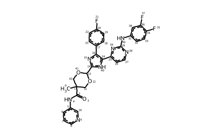 CC1(C(=O)Nc2cccnc2)COC(c2nc(-c3ccc(F)cc3)c(-c3ccnc(Nc4ccc(F)c(F)c4)n3)[nH]2)OC1